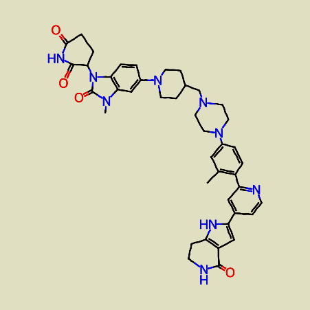 Cc1cc(N2CCN(CC3CCN(c4ccc5c(c4)n(C)c(=O)n5C4CCC(=O)NC4=O)CC3)CC2)ccc1-c1cc(-c2cc3c([nH]2)CCNC3=O)ccn1